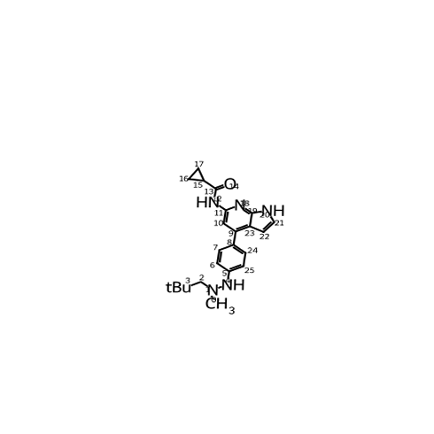 CN(CC(C)(C)C)Nc1ccc(-c2cc(NC(=O)C3CC3)nc3[nH]ccc23)cc1